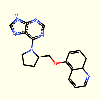 C1=CC2=C(OC[C@H]3CCCN3c3ncnc4[nH]cnc34)C=CCC2N=C1